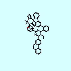 CCC1C(c2ccc3c(ccc4ccccc43)c2)=NC(c2ccccc2)=NC1c1ccccc1-c1ccc2c(c1)-c1ccccc1C21c2ccccc2C(C)(C)c2ccccc21